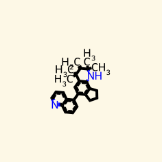 C=C1C(C)(C)Nc2c(cc(-c3cccc4ncccc34)c3c2CCC3)C1(C)C